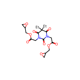 CCC1(CC)C(=O)N(CC(=O)OCC2CO2)C(=O)N(CC(=O)OCC2CO2)C1=O